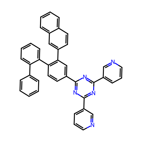 c1ccc(-c2ccccc2-c2ccc(-c3nc(-c4cccnc4)nc(-c4cccnc4)n3)cc2-c2ccc3ccccc3c2)cc1